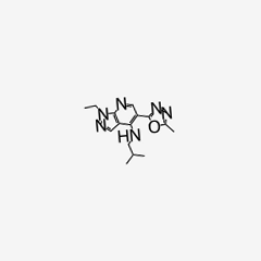 CCn1ncc2c(NCC(C)C)c(-c3nnc(C)o3)cnc21